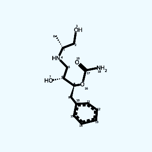 C[C@H](CO)NC[C@@H](O)[C@H](Cc1ccccc1)OC(N)=O